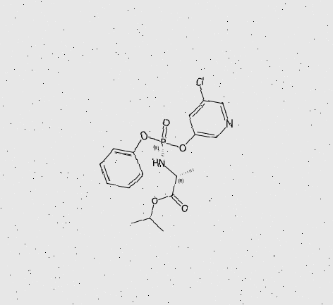 CC(C)OC(=O)[C@@H](C)N[P@@](=O)(Oc1ccccc1)Oc1cncc(Cl)c1